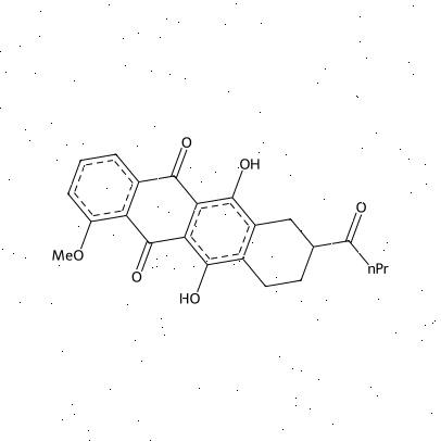 CCCC(=O)C1CCc2c(O)c3c(c(O)c2C1)C(=O)c1cccc(OC)c1C3=O